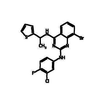 CC(Nc1nc(Nc2ccc(F)c(Cl)c2)nc2c(Br)cccc12)c1cccs1